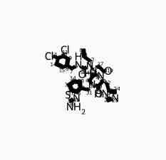 C=CCN(C(=O)NCC1=CC(Cl)C(Cl)C=C1)N1CC(=O)N2[C@@H](Cc3cnc[nH]3)C(=O)N(Cc3cccc4sc(N)nc34)C[C@@H]21